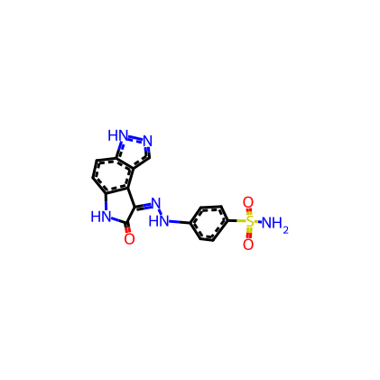 NS(=O)(=O)c1ccc(N/N=C2\C(=O)Nc3ccc4[nH]ncc4c32)cc1